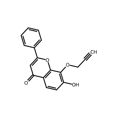 C#CCOc1c(O)ccc2c(=O)cc(-c3ccccc3)oc12